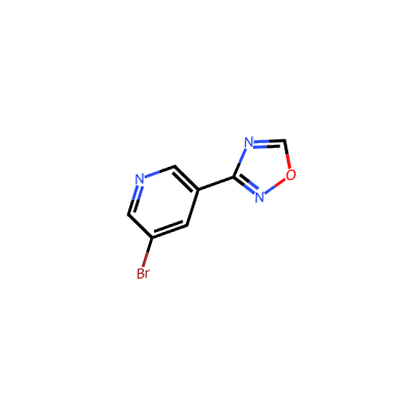 Brc1cncc(-c2ncon2)c1